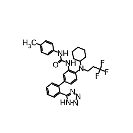 Cc1ccc(NC(=O)Nc2cc(-c3ccccc3-c3nnn[nH]3)ccc2N(CCC(F)(F)F)C2CCCCC2)cc1